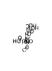 O=C(O)CCC(=O)NC(Cc1ccc(OC(C(=O)O)C(=O)O)cc1)C(=O)NCCOc1ccccc1